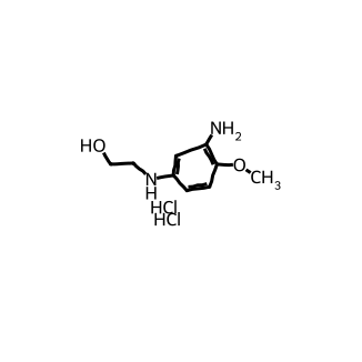 COc1ccc(NCCO)cc1N.Cl.Cl